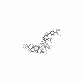 C=C(O)c1ccc(-n2cc(COC[C@]3(C)[C@@H](C[C@]4(C)C(C)=CCC5[C@@]6(C)CC[C@@H]7OC(C)(C)OC[C@]7(C)C6CC[C@]54C)OC(C)(C)O[C@H]3[C@H](O)C(C)(C)CC)nn2)cc1